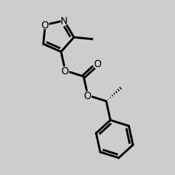 Cc1nocc1OC(=O)O[C@H](C)c1ccccc1